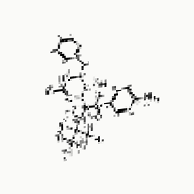 [2H]C([2H])([2H])C([2H])(C([2H])([2H])[2H])C([2H])([2H])N(C[C@@H](O)[C@H](Cc1ccccc1)NC(=O)O)S(=O)(=O)c1ccc(N)cc1